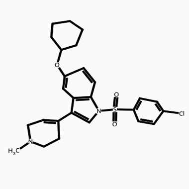 CN1CC=C(c2cn(S(=O)(=O)c3ccc(Cl)cc3)c3ccc(OC4CCCCC4)cc23)CC1